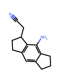 N#CCC1CCc2cc3c(c(N)c21)CCC3